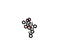 c1ccc(-c2nc(-c3ccccc3-n3c4ccccc4c4c5sc6ccccc6c5ccc43)nc3c2[Si](c2ccccc2)(c2ccccc2)c2ccccc2-3)cc1